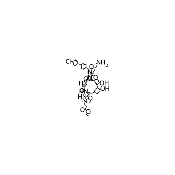 CCOC(=O)CCC(=O)[C@H](C)NC(=O)[C@@H]1Cc2ccc(O)c(c2)-c2cc(ccc2O)[C@H](N(C)C(=O)[C@H](CCCCN)NC(=O)c2ccc(-c3ccc(Cl)cc3)cc2)C(=O)N[C@@H](C)C(=O)N1